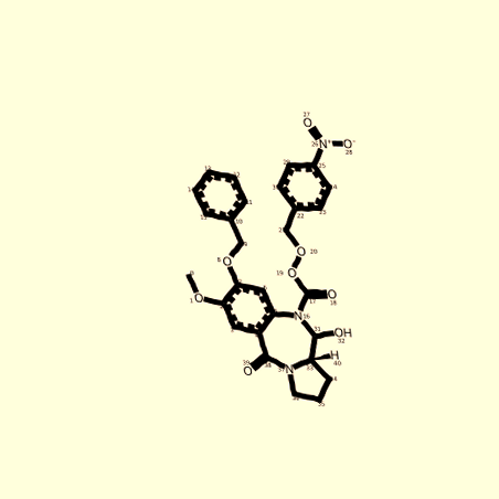 COc1cc2c(cc1OCc1ccccc1)N(C(=O)OOCc1ccc([N+](=O)[O-])cc1)C(O)[C@@H]1CCCN1C2=O